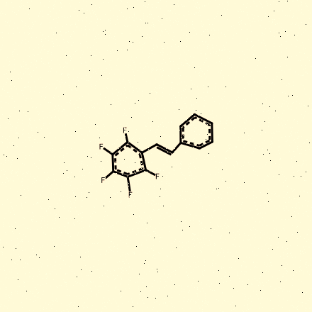 Fc1c(F)c(F)c(C=Cc2ccccc2)c(F)c1F